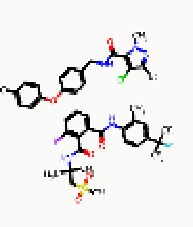 CCc1nn(C)c(C(=O)NCc2ccc(Oc3ccc(C)cc3)cc2)c1Cl.Cc1cc(C(F)(C(F)(F)F)C(F)(F)F)ccc1NC(=O)c1cccc(I)c1C(=O)NC(C)(C)CS(C)(=O)=O